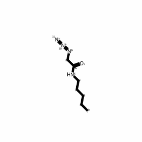 [CH2]CCCCNC(=O)CN=[N+]=[N-]